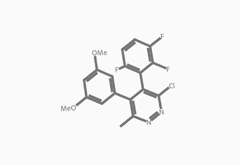 COc1cc(OC)cc(-c2c(C)nnc(Cl)c2-c2c(F)ccc(F)c2F)c1